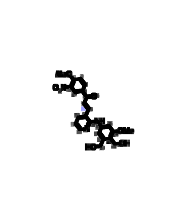 COc1ccc(C(=O)/C=C/c2cccnc2Nc2cc(CO)c(CO)c(OC)c2)cc1[N+](=O)[O-]